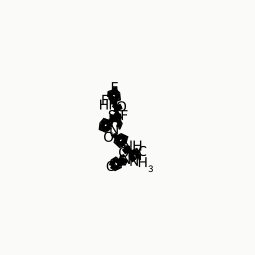 Cc1cnc(N2CC3(CCOCC3)C2)c(C(=O)Nc2ccc(C(=O)N3CCc4c(sc(C(=O)Nc5ccc(F)cc5F)c4F)-c4ccccc43)cc2)c1